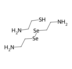 NCCS.NCC[Se][Se]CCN